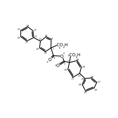 O=C(O)C1(C(=O)OC(=O)C2(C(=O)O)C=CC(c3ccccc3)C=C2)C=CC(c2ccccc2)C=C1